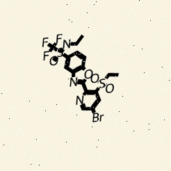 CCN=S(=O)(c1ccc2oc(-c3ncc(Br)cc3S(=O)(=O)CC)nc2c1)C(F)(F)F